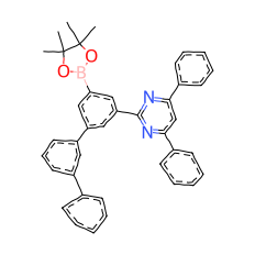 CC1(C)OB(c2cc(-c3cccc(-c4ccccc4)c3)cc(-c3nc(-c4ccccc4)cc(-c4ccccc4)n3)c2)OC1(C)C